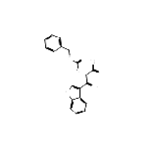 NC(=O)[C@@H](NC(=O)OCc1ccccc1)C(=O)c1c[nH]c2ccccc12